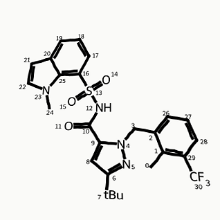 Cc1c(Cn2nc(C(C)(C)C)cc2C(=O)NS(=O)(=O)c2cccc3ccn(C)c23)cccc1C(F)(F)F